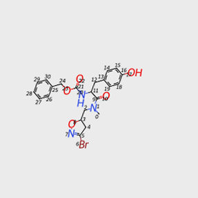 CN(CC1CC(Br)=NO1)C(=O)C(Cc1ccc(O)cc1)NC(=O)OCc1ccccc1